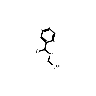 CCC(OCC(=O)O)c1ccccc1